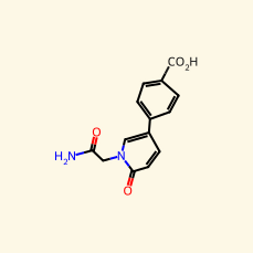 NC(=O)Cn1cc(-c2ccc(C(=O)O)cc2)ccc1=O